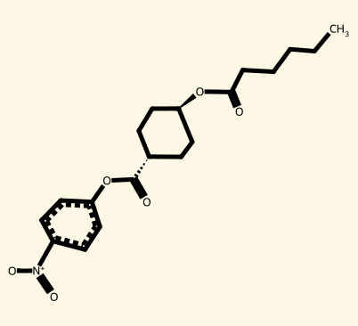 CCCCCC(=O)O[C@H]1CC[C@H](C(=O)Oc2ccc([N+](=O)[O-])cc2)CC1